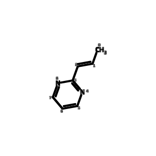 C/C=C/c1ncccn1